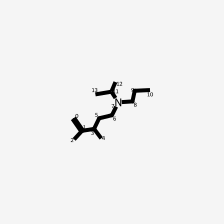 C=C(C)C(C)CCN(CCC)C(C)C